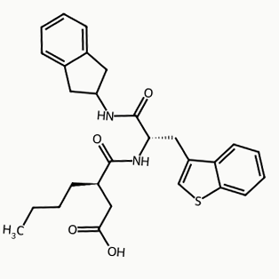 CCCC[C@H](CC(=O)O)C(=O)N[C@@H](Cc1csc2ccccc12)C(=O)NC1Cc2ccccc2C1